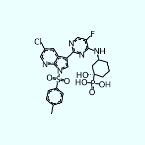 Cc1ccc(S(=O)(=O)n2cc(-c3ncc(F)c(N[C@H]4CCC[C@@](O)(P(=O)(O)O)C4)n3)c3cc(Cl)cnc32)cc1